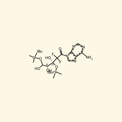 CC(C)(C)[Si](C)(C)OC(O)[C@@H](O)[C@](O)(O[Si](C)(C)C(C)(C)C)C(F)(F)C(=O)n1cnc2c(N)ncnc21